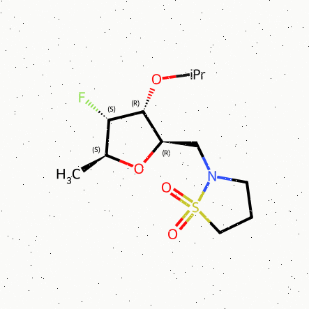 CC(C)O[C@H]1[C@@H](F)[C@H](C)O[C@@H]1CN1CCCS1(=O)=O